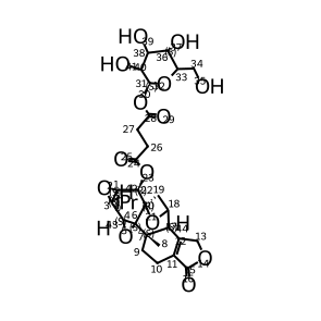 CC(C)[C@]12O[C@H]1[C@@H]1O[C@@]13[C@@]1(C)CCC4=C(COC4=O)[C@@H]1C1C[C@@]3(O1)[C@@H]2OC(=O)CCC(=O)O[C@@H]1OC(CO)[C@@H](O)C(O)C1O